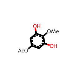 COc1c(O)cc(OC(C)=O)cc1O